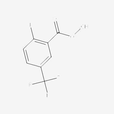 COC(=O)c1cc(C(F)(F)F)ccc1I